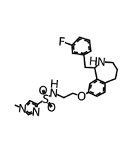 Cn1cnc(S(=O)(=O)NCCOc2ccc3c(c2)C(Cc2cccc(F)c2)NCCC3)c1